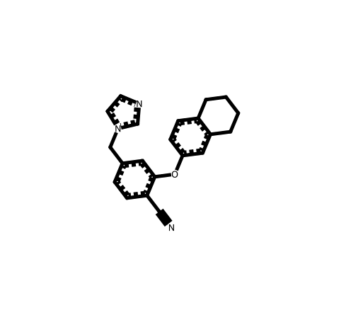 N#Cc1ccc(Cn2ccnc2)cc1Oc1ccc2c(c1)CCCC2